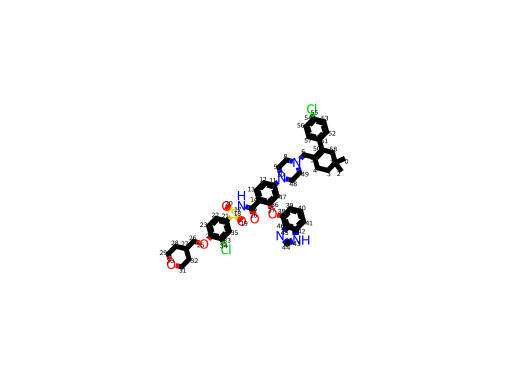 CC1(C)CCC(CN2CCN(c3ccc(C(=O)NS(=O)(=O)c4ccc(OCC5CCOCC5)c(Cl)c4)c(Oc4cccc5[nH]cnc45)c3)CC2)=C(c2ccc(Cl)cc2)C1